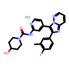 Cc1cc(-c2nc3cccnn3c2-c2ccnc(NC(=O)N3CCC(O)CC3)c2)ccc1F.Cl